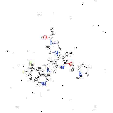 C=CC(=O)N1CCN(c2c(C#N)c(OCC3CCCN3C)nc3c2CCN(c2cncc4cc(F)c(F)cc24)C3)CC1